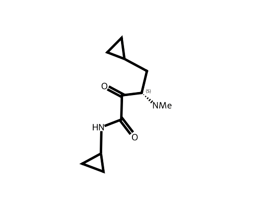 CN[C@@H](CC1CC1)C(=O)C(=O)NC1CC1